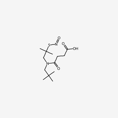 CC(C)(C)CN(CC(C)(C)SN=O)C(=O)CCC(=O)O